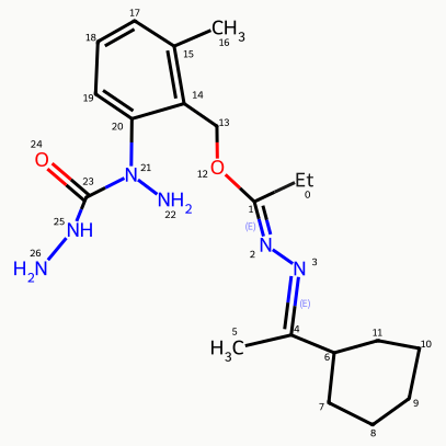 CC/C(=N\N=C(/C)C1CCCCC1)OCc1c(C)cccc1N(N)C(=O)NN